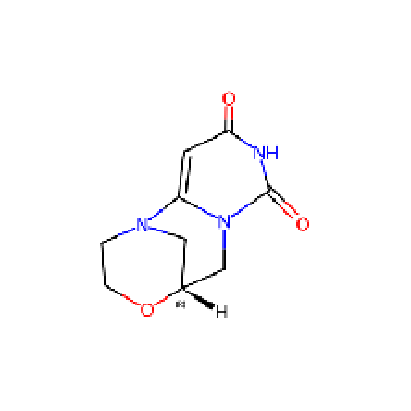 O=c1cc2n(c(=O)[nH]1)C[C@H]1CN2CCO1